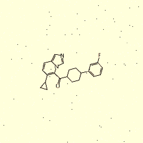 O=C(c1c(C2CC2)ccc2cncn12)C1CCC(c2cccc(F)c2)CC1